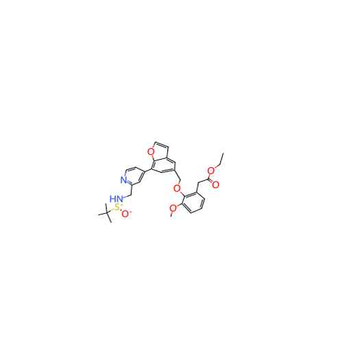 CCOC(=O)Cc1cccc(OC)c1OCc1cc(-c2ccnc(CN[S@@+]([O-])C(C)(C)C)c2)c2occc2c1